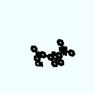 N#Cc1ccc2c(c1)c1cc(-c3ccc4c(c3)Oc3cc(-c5nc(-c6ccccc6)nc(-c6ccccc6)n5)ccc3C4(c3ccccc3)c3ccccc3)ccc1n2-c1ccccc1